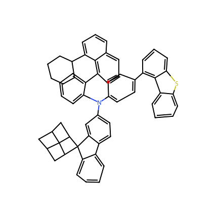 c1ccc(N(c2ccc(-c3cccc4sc5ccccc5c34)cc2)c2ccc3c(c2)C2(c4ccccc4-3)C3CC4CC5CC2C453)c(-c2cccc3cccc(C4CCCCC4)c23)c1